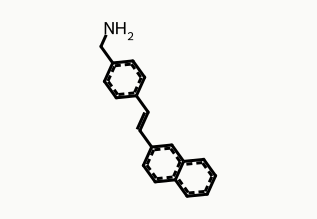 NCc1ccc(C=Cc2ccc3ccccc3c2)cc1